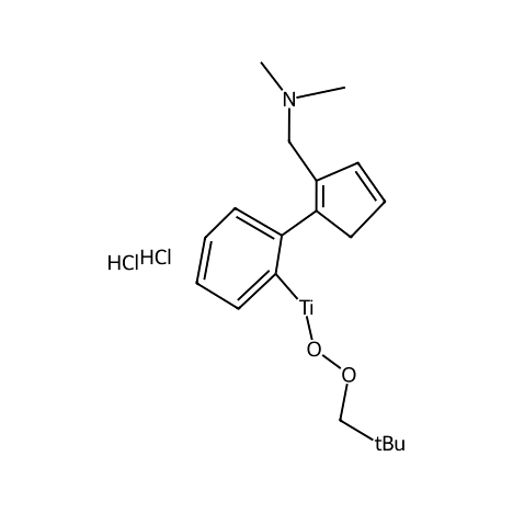 CN(C)CC1=C(c2cccc[c]2[Ti][O]OCC(C)(C)C)CC=C1.Cl.Cl